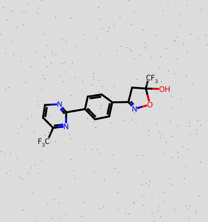 OC1(C(F)(F)F)CC(c2ccc(-c3nccc(C(F)(F)F)n3)cc2)=NO1